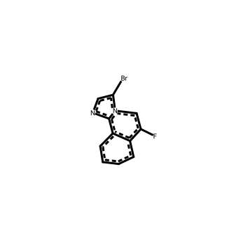 Fc1cn2c(Br)cnc2c2ccccc12